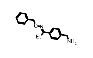 CC/C(=N\OCc1ccccc1)c1ccc(CN)cc1